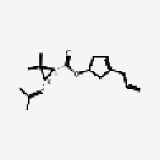 C=CCC1=CCC(OC(=O)[C@@H]2[C@H](C=C(C)C)C2(C)C)C1